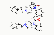 CCC(=O)N(c1ccccc1)C1CCN(CCc2ccccc2)CC1.CCC(=O)N(c1ccccc1)C1CCN(CCc2ccccc2)CC1